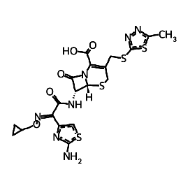 Cc1nnc(SCC2=C(C(=O)O)N3C(=O)[C@@H](NC(=O)/C(=N/OC4CC4)c4csc(N)n4)[C@H]3SC2)s1